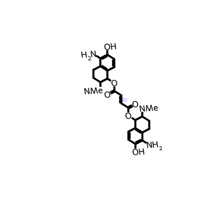 CNC1CCc2c(ccc(O)c2N)C1OC(=O)/C=C/C(=O)OC1c2ccc(O)c(N)c2CCC1NC